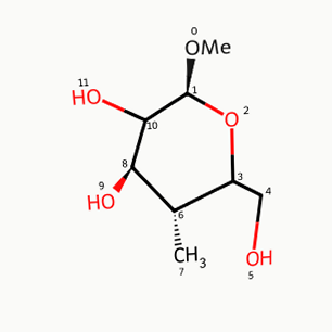 CO[C@H]1OC(CO)[C@H](C)[C@@H](O)C1O